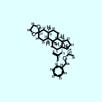 C=C(C)C[C@]12CC[C@H]3[C@@H](CC[C@@H]4CC5(CC[C@@H]43)OCCO5)[C@@H]1CC[C@@H]2C(C)OCc1ccccc1